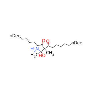 CCCCCCCCCCCCCCCC(=O)C(C)(C(=O)CCCCCCCCCCCCCCC)C(C)(N)O